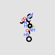 CCC(=O)N[C@@H](C(=O)N1CCN(C)CC1)[C@@H](C)c1ccc(NC(=O)CNC2CCCCCC2)c(F)c1